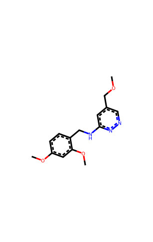 COCc1cnnc(NCc2ccc(OC)cc2OC)c1